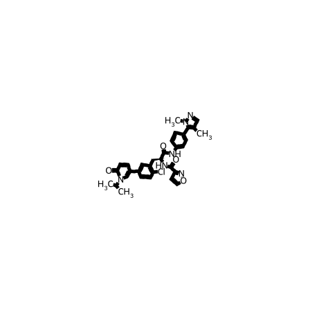 Cc1cnn(C)c1-c1ccc(NC(=O)[C@H](Cc2cc(-c3ccc(=O)n(C(C)C)c3)ccc2Cl)NC(=O)c2ccon2)cc1